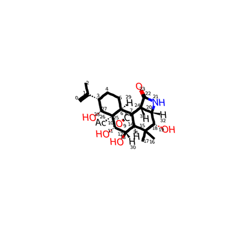 C=C(C)[C@@H]1CC[C@H]2[C@@]34CO[C@@](O)([C@@H](O)[C@@H]3C(C)(C)[C@@H](O)[C@H]3NC(=O)[C@H]34)[C@@]2(C(C)=O)[C@@H]1O